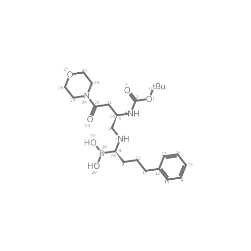 CC(C)(C)OC(=O)N[C@@H](CN[C@@H](CCCc1ccccc1)B(O)O)CC(=O)N1CCOCC1